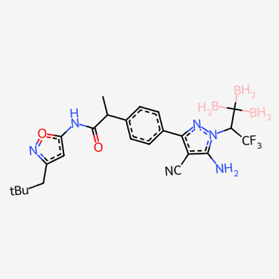 BC(B)(B)C(n1nc(-c2ccc(C(C)C(=O)Nc3cc(CC(C)(C)C)no3)cc2)c(C#N)c1N)C(F)(F)F